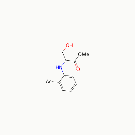 COC(=O)C(CO)Nc1ccccc1C(C)=O